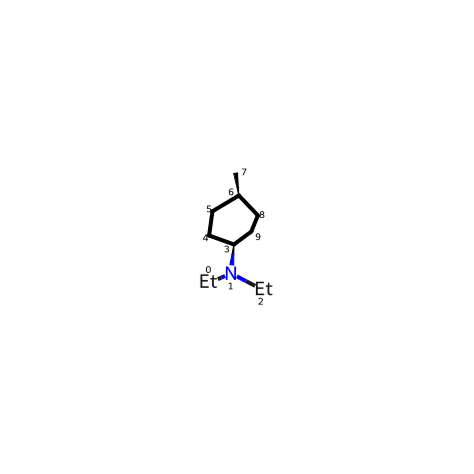 CCN(CC)[C@H]1CC[C@@H](C)CC1